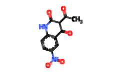 CC(=O)C1C(=O)Nc2ccc([N+](=O)[O-])cc2C1=O